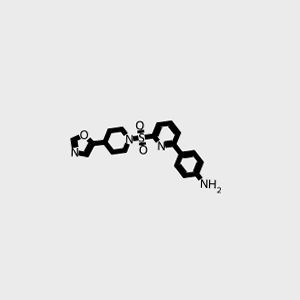 Nc1ccc(-c2cccc(S(=O)(=O)N3CCC(c4cnco4)CC3)n2)cc1